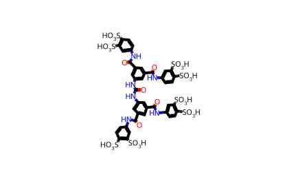 O=C(Nc1cc(C(=O)Nc2ccc(S(=O)(=O)O)c(S(=O)(=O)O)c2)cc(C(=O)Nc2ccc(S(=O)(=O)O)c(S(=O)(=O)O)c2)c1)Nc1cc(C(=O)Nc2ccc(S(=O)(=O)O)c(S(=O)(=O)O)c2)cc(C(=O)Nc2ccc(S(=O)(=O)O)c(S(=O)(=O)O)c2)c1